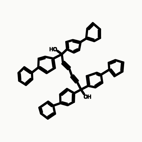 OC(C#CC#CC(O)(c1ccc(-c2ccccc2)cc1)c1ccc(-c2ccccc2)cc1)(c1ccc(-c2ccccc2)cc1)c1ccc(-c2ccccc2)cc1